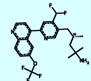 C[C@@H](Cc1cnc(-c2ccnc3ccc(OC(F)(F)F)cc23)cc1C(F)F)CC(C)(C)N